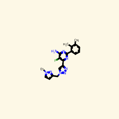 CCn1ccc(Cn2cc(-c3nc(-c4cccc(C#N)c4C)nc(N)c3F)nn2)n1